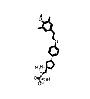 COc1c(C)cc(CCOc2ccc([C@@H]3CC[C@@](N)(COP(=O)(O)O)C3)cc2)cc1C